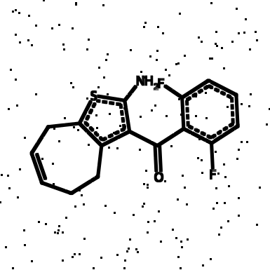 Nc1sc2c(c1C(=O)c1c(F)cccc1F)CCC=CC2